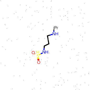 CC(C)NCCCN[SH](=O)=O